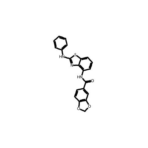 O=C(Nc1cccc2sc(Nc3ccccc3)nc12)c1ccc2c(c1)OCO2